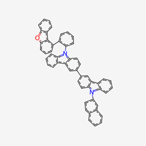 c1ccc(-n2c3ccccc3c3cc(-c4ccc5c(c4)c4ccccc4n5-c4ccc5ccccc5c4)ccc32)c(-c2cccc3oc4ccccc4c23)c1